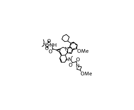 COc1ccc(C2CCCCC2)c2c1cc1n2CC2=C(C(=O)NS(=O)(=O)N(C)C)C2=C2C=CC[C@@H](N(C)C(=O)C(=O)N3CC(OC)C3)C21